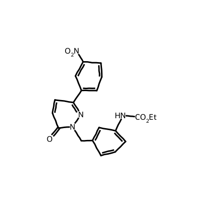 CCOC(=O)Nc1cccc(Cn2nc(-c3cccc([N+](=O)[O-])c3)ccc2=O)c1